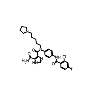 NC(=O)c1[nH]cnc1C(=O)N(CCCCCN1CCCC1)c1ccc(NC(=O)c2ccc(F)cc2Cl)cc1